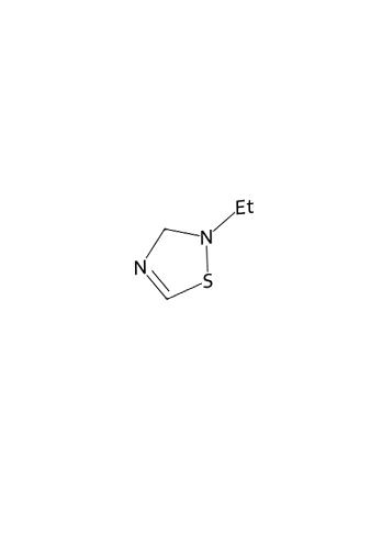 CCN1CN=CS1